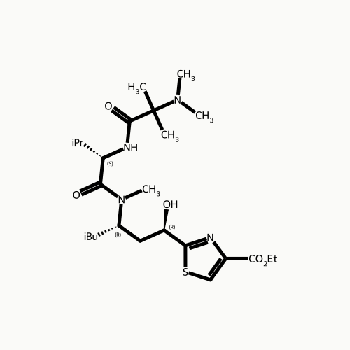 CCOC(=O)c1csc([C@H](O)C[C@H](C(C)CC)N(C)C(=O)[C@@H](NC(=O)C(C)(C)N(C)C)C(C)C)n1